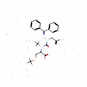 C=C(C)CN(N=C(c1ccccc1)c1ccccc1)C(=O)N(C(COC(C)(C)C)C(=O)O)C(C)(C)C